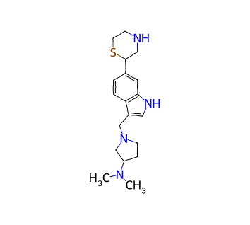 CN(C)C1CCN(Cc2c[nH]c3cc(C4CNCCS4)ccc23)C1